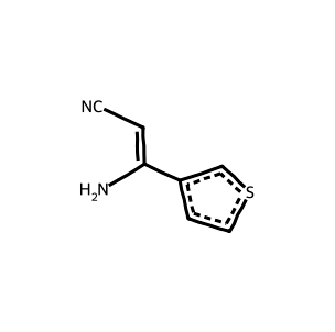 N#CC=C(N)c1ccsc1